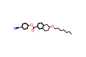 CCCCCCCOC1CCc2cc(C(=O)Oc3ccc(C#N)cc3)ccc2C1